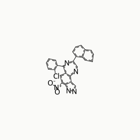 O=[N+]([O-])c1cc2c(-c3ccccc3Cl)nc(-c3cccc4ccccc34)cnc2c2cnnc12